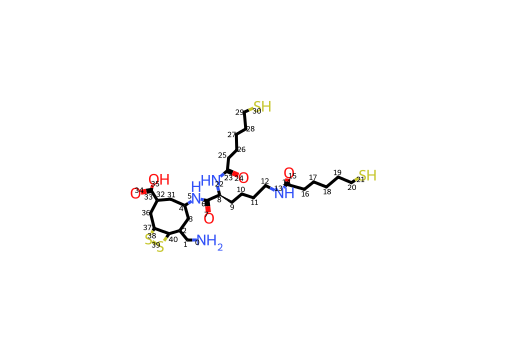 NCC1CC(NC(=O)[C@H](CCCCNC(=O)CCCCCS)NC(=O)CCCCCS)CC(C(=O)O)CC2SSC12